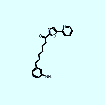 Nc1cccc(CCCCCCC(=O)c2ncc(-c3ccccn3)o2)c1